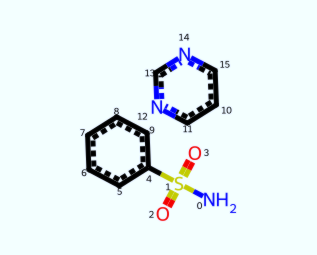 NS(=O)(=O)c1ccccc1.c1cncnc1